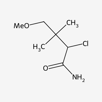 COCC(C)(C)C(Cl)C(N)=O